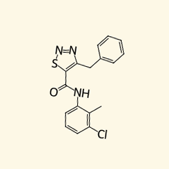 Cc1c(Cl)cccc1NC(=O)c1snnc1Cc1ccccc1